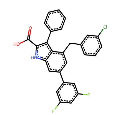 O=C(O)c1[nH]c2cc(-c3cc(F)cc(F)c3)cc(Cc3cccc(Cl)c3)c2c1-c1ccccc1